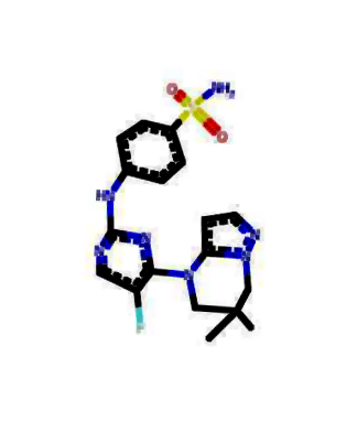 CC1(C)CN(c2nc(Nc3ccc(S(N)(=O)=O)cc3)ncc2F)c2ccnn2C1